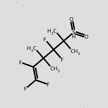 CC(C)(C(F)=C(F)F)C(F)(F)C(C)(C)[SH](=O)=O